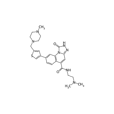 CN(C)CCNC(=O)c1cc2n[nH]c(=O)n2c2cc(-c3csc(CN4CCN(C)CC4)c3)ccc12